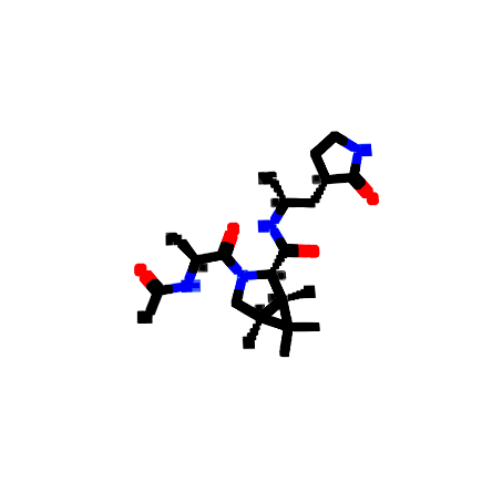 CCC(=O)N[C@H](C(=O)N1C[C@H]2[C@@H]([C@H]1C(=O)N[C@H](C#N)C[C@@H]1CCNC1=O)C2(C)C)C(C)C